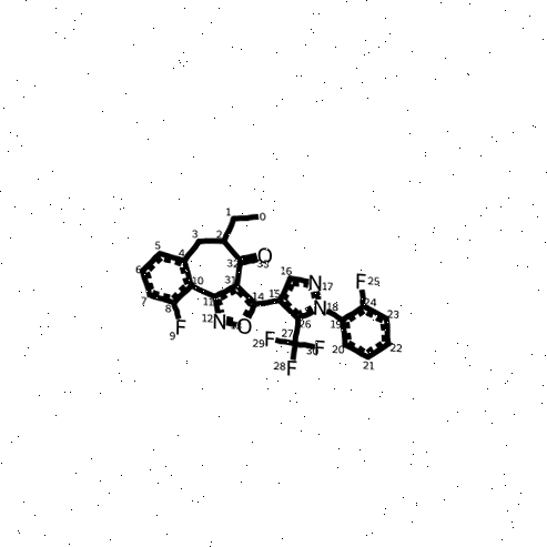 CCC1Cc2cccc(F)c2-c2noc(-c3cnn(-c4ccccc4F)c3C(F)(F)F)c2C1=O